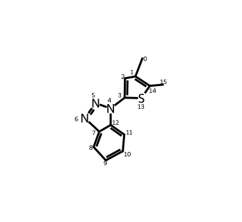 Cc1cc(-n2nnc3ccccc32)sc1C